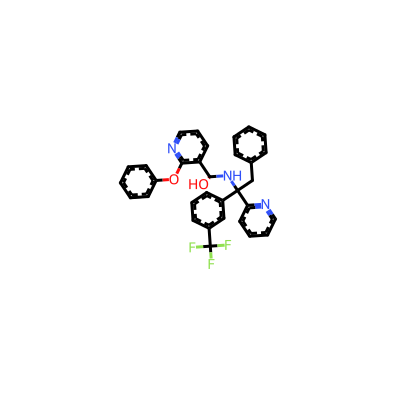 O[C@H](NC(Cc1ccccc1)(c1cccc(C(F)(F)F)c1)c1ccccn1)c1cccnc1Oc1ccccc1